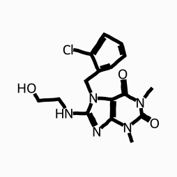 Cn1c(=O)c2c(nc(NCCO)n2Cc2ccccc2Cl)n(C)c1=O